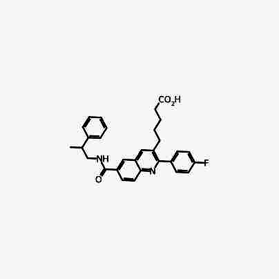 CC(CNC(=O)c1ccc2nc(-c3ccc(F)cc3)c(CCCCC(=O)O)cc2c1)c1ccccc1